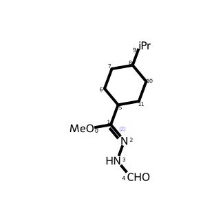 CO/C(=N\NC=O)C1CCC(C(C)C)CC1